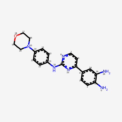 Nc1ccc(-c2ccnc(Nc3ccc(N4CCOCC4)cc3)n2)cc1N